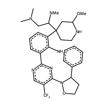 CNC(CN(C)C)C1(c2cccc(-c3ncc(C(F)(F)F)c(N4OCCC4c4ccccc4)n3)c2N)CCNC(OC)C1